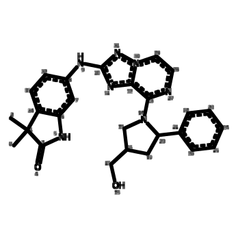 CC1(C)C(=O)Nc2cc(Nc3nc4c(N5CC(CO)CC5c5ccccc5)nccn4n3)ccc21